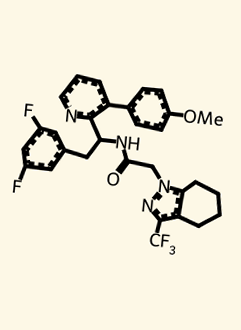 COc1ccc(-c2cccnc2C(Cc2cc(F)cc(F)c2)NC(=O)Cn2nc(C(F)(F)F)c3c2CCCC3)cc1